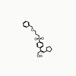 O=S(=O)(CCCOCc1ccccc1)c1ccc(/C(=C\C2CCCC2)CO)cc1